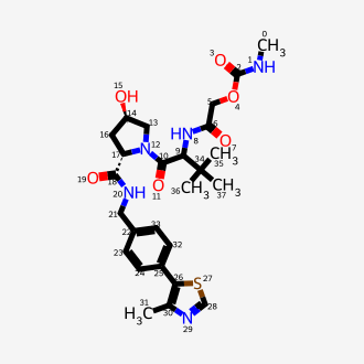 CNC(=O)OCC(=O)NC(C(=O)N1C[C@H](O)C[C@H]1C(=O)NCc1ccc(-c2scnc2C)cc1)C(C)(C)C